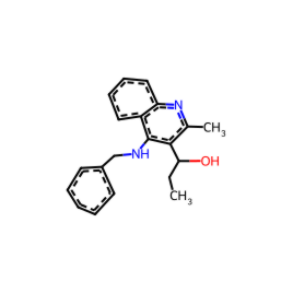 CCC(O)c1c(C)nc2ccccc2c1NCc1ccccc1